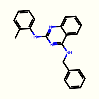 Cc1ccccc1Nc1nc(NCc2ccccc2)c2ccccc2n1